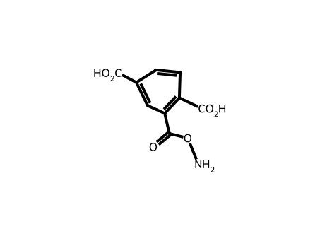 NOC(=O)c1cc(C(=O)O)ccc1C(=O)O